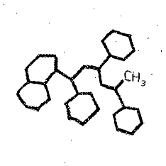 CC(CC(CC(C1CCCCC1)C1CCCC2CCCCC21)C1CCCCC1)C1CCCCC1